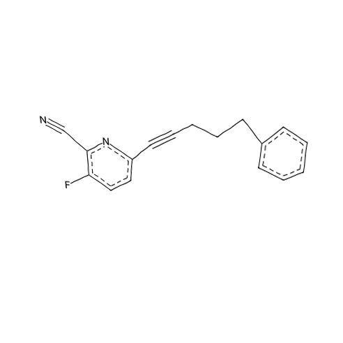 N#Cc1nc(C#CCCCc2ccccc2)ccc1F